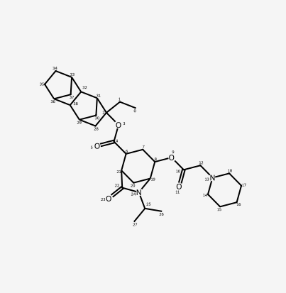 CCC1(OC(=O)C2CC(OC(=O)CN3CCCCC3)C3CC2C(=O)N3C(C)C)CC2CC1C1C3CCC(C3)C21